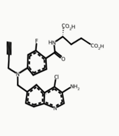 C#CCN(Cc1ccc2ncc(N)c(Cl)c2c1)c1ccc(C(=O)N[C@@H](CCC(=O)O)C(=O)O)c(F)c1